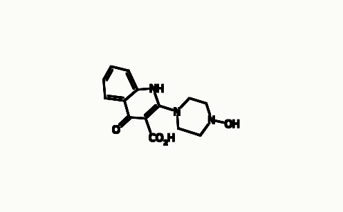 O=C(O)c1c(N2CCN(O)CC2)[nH]c2ccccc2c1=O